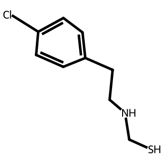 SCNCCc1ccc(Cl)cc1